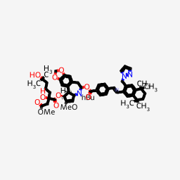 CCCCN1C(OC(=O)c2ccc(/C=C/c3cc4c(cc3Cn3cccn3)C(C)(C)CCC4(C)C)cc2)Cc2cc3c(cc2[C@H]2C1C=C(OC)[C@H]2OC(=O)C(O)(CCCC(C)(C)O)CC(=O)OC)OCO3